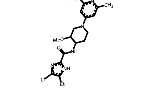 CCc1[nH]c(C(=O)NC2CCN(c3cc(C)nc(C(=O)O)c3)CC2OC)nc1Cl